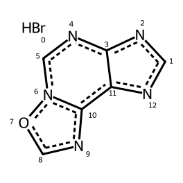 Br.c1nc2ncn3ocnc3c-2n1